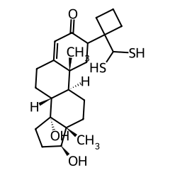 C[C@]12CC(C3(C(S)S)CCC3)C(=O)C=C1CC[C@@H]1[C@@H]2CC[C@]2(C)[C@@H](O)CC[C@@]12O